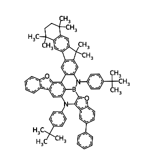 CC(C)(C)c1ccc(N2B3c4oc5ccc(-c6ccccc6)cc5c4N(c4ccc(C(C)(C)C)cc4)c4cc5c(oc6ccccc65)c(c43)-c3cc4c(cc32)C(C)(C)c2cc3c(cc2-4)C(C)(C)CCC3(C)C)cc1